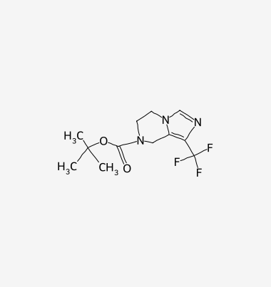 CC(C)(C)OC(=O)N1CCn2cnc(C(F)(F)F)c2C1